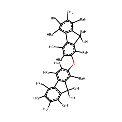 Cc1[c]([RaH])[c]([RaH])c2c([c]1[RaH])[C]([RaH])([RaH])c1[c]([RaH])c(Oc3[c]([RaH])[c]([RaH])c4c([c]3[RaH])[C]([RaH])([RaH])c3[c]([RaH])c(C)[c]([RaH])[c]([RaH])c3-4)[c]([RaH])[c]([RaH])c1-2